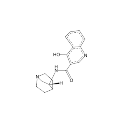 O=C(N[C@H]1CN2CCC1CC2)c1cnc2ccccc2c1O